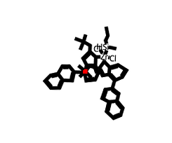 CCC[SiH](C)[Zr]([Cl])([Cl])([CH]1C(CC(C)(C)C)=Cc2c(-c3ccc4ccccc4c3)cccc21)[CH]1C(CC(C)(C)C)=Cc2c(-c3ccc4ccccc4c3)cccc21